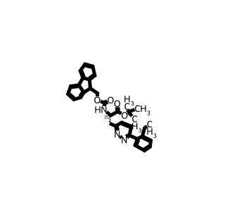 CCc1ccccc1-c1ccc(C[C@H](NC(=O)OCC2c3ccccc3-c3ccccc32)C(=O)OC(C)(C)C)nn1